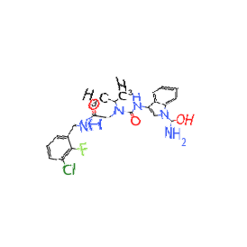 CC(C)N(CC(=O)NCc1cccc(Cl)c1F)C(=O)Nc1cn(C(N)O)c2ccccc12